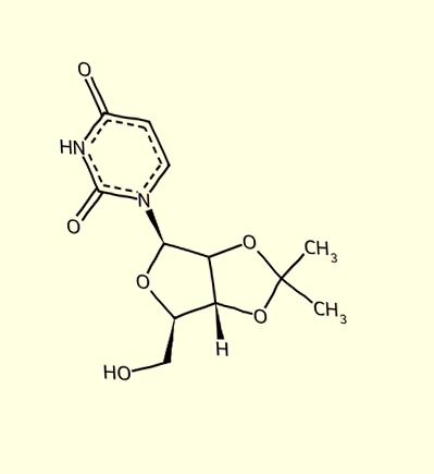 CC1(C)OC2[C@H](n3ccc(=O)[nH]c3=O)O[C@H](CO)[C@H]2O1